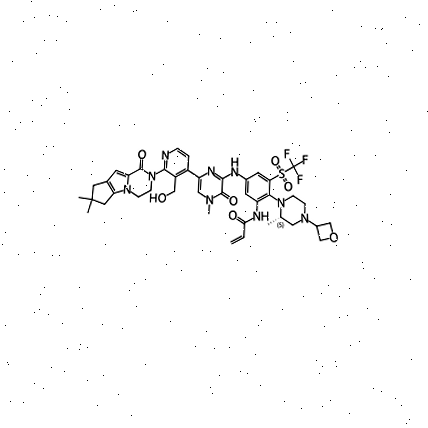 C=CC(=O)Nc1cc(Nc2nc(-c3ccnc(N4CCn5c(cc6c5CC(C)(C)C6)C4=O)c3CO)cn(C)c2=O)cc(S(=O)(=O)C(F)(F)F)c1N1CCN(C2COC2)C[C@@H]1C